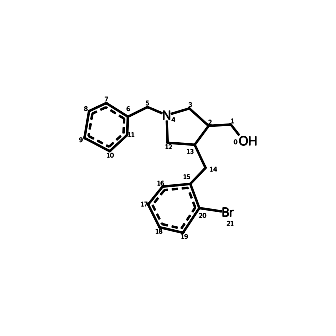 OCC1CN(Cc2ccccc2)CC1Cc1ccccc1Br